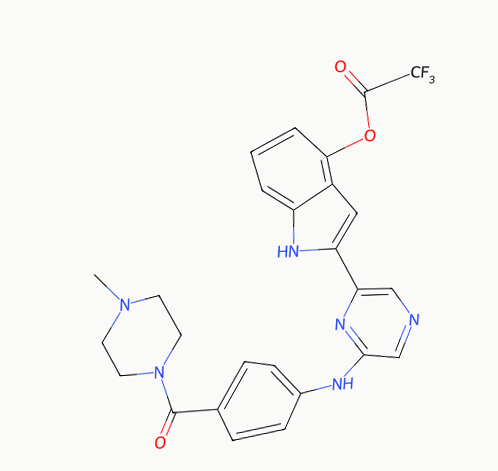 CN1CCN(C(=O)c2ccc(Nc3cncc(-c4cc5c(OC(=O)C(F)(F)F)cccc5[nH]4)n3)cc2)CC1